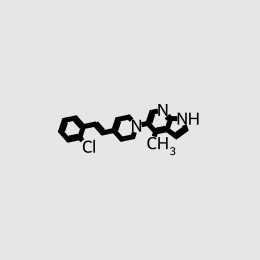 Cc1c(N2CC=C(C=Cc3ccccc3Cl)CC2)cnc2[nH]ccc12